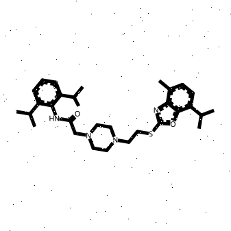 Cc1ccc(C(C)C)c2oc(SCCN3CCN(CC(=O)Nc4c(C(C)C)cccc4C(C)C)CC3)nc12